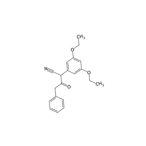 CCOc1cc(OCC)cc(C(C#N)C(=O)Cc2ccccc2)c1